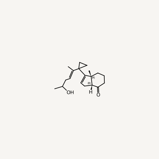 CC(=CCC(C)O)C1(C2=CC[C@H]3C(=O)CCC[C@@]23C)CC1